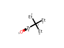 CC[C](CC)(CC)[Zr]=[O]